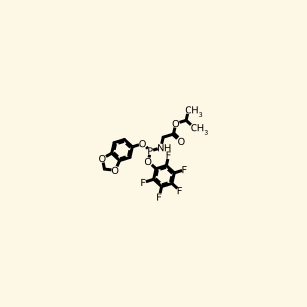 CC(C)OC(=O)CNP(Oc1ccc2c(c1)OCO2)Oc1c(F)c(F)c(F)c(F)c1F